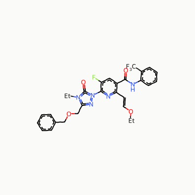 CCO/C=C/c1nc(-n2nc(COCc3ccccc3)n(CC)c2=O)c(F)cc1C(=O)Nc1ccccc1C(F)(F)F